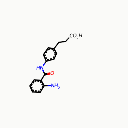 Nc1ccccc1C(=O)Nc1ccc(CCC(=O)O)cc1